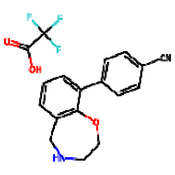 N#Cc1ccc(-c2cccc3c2OCCNC3)cc1.O=C(O)C(F)(F)F